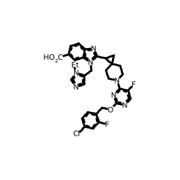 CCn1cncc1Cn1c(C2CC23CCN(c2nc(OCc4ccc(Cl)cc4F)ncc2F)CC3)nc2ccc(C(=O)O)cc21